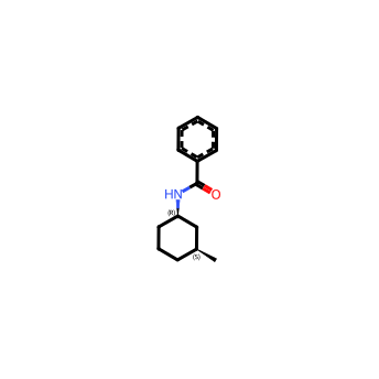 C[C@H]1CCC[C@@H](NC(=O)c2ccccc2)C1